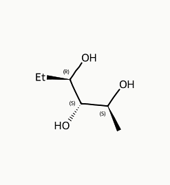 CC[C@@H](O)[C@@H](O)[C@H](C)O